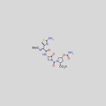 CON=C(C(=O)N[C@H]1CN(C(=O)N2CC(OC(N)=O)C[C@H]2C(=O)O)C1=O)c1csc(N)n1